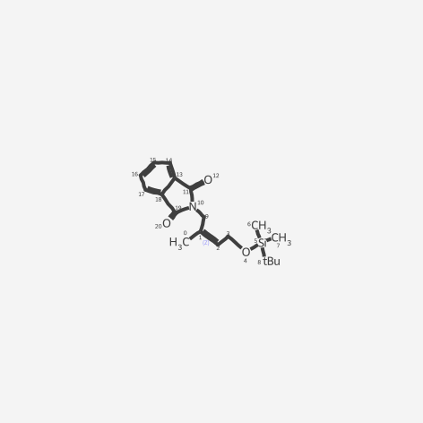 C/C(=C/CO[Si](C)(C)C(C)(C)C)CN1C(=O)c2ccccc2C1=O